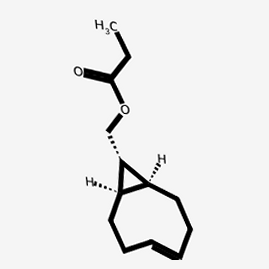 CCC(=O)OC[C@H]1[C@@H]2CC/C=C/CC[C@@H]21